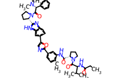 CCC(=O)NC(C(=O)N1CCC[C@H]1C(=O)Nc1cc(-c2ncc(-c3ccc4nc([C@@H]5CCCN5C(=O)[C@@H](c5ccccc5)N(C)C)[nH]c4c3)o2)ccc1C)C(C)C